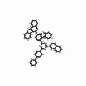 C1=CC(c2nc(-c3ccc4ccccc4c3)nc(-c3ccc(-c4cc5ccccc5c5oc6ccccc6c45)c4oc5ccccc5c34)n2)CC=C1c1ccccc1